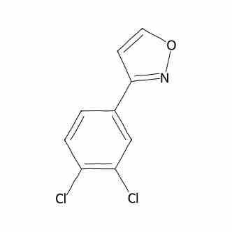 Clc1ccc(-c2ccon2)cc1Cl